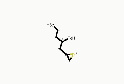 [SeH]CCC([TeH])CC1CS1